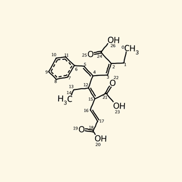 CCC(=CC(=Cc1ccccc1)C(CC)=C(C=CC(=O)O)C(=O)O)C(=O)O